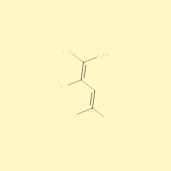 CC/C(C)=C/C(C#N)=C(/N)NC